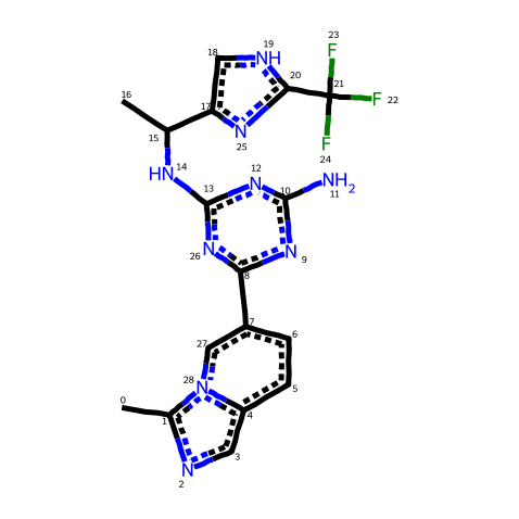 Cc1ncc2ccc(-c3nc(N)nc(NC(C)c4c[nH]c(C(F)(F)F)n4)n3)cn12